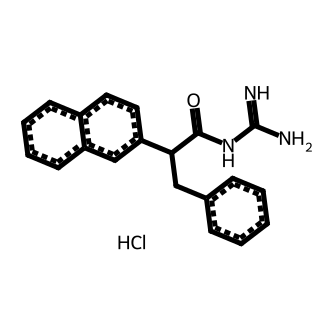 Cl.N=C(N)NC(=O)C(Cc1ccccc1)c1ccc2ccccc2c1